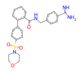 N=C(N)c1ccc(CNC(=O)c2ccccc2-c2ccc(S(=O)(=O)N3CCOCC3)cc2)cc1